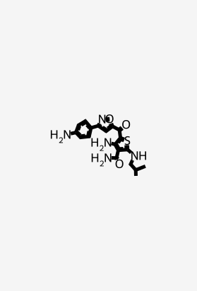 CC(C)CNc1sc(C(=O)c2cc(-c3ccc(N)cc3)no2)c(N)c1C(N)=O